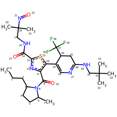 CCCC1CCC(C)N1C(=O)c1nc(C(=O)NCC(C)(C)N=O)sc1C1=CN=C(NCC(C)(C)C)CC1C(F)(F)F